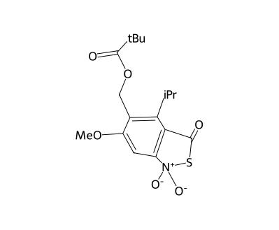 COc1cc2c(c(C(C)C)c1COC(=O)C(C)(C)C)C(=O)S[N+]2([O-])[O-]